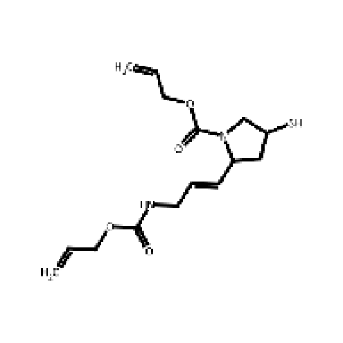 C=CCOC(=O)NCC=CC1CC(S)CN1C(=O)OCC=C